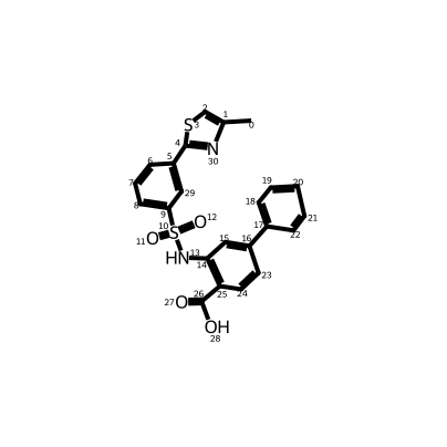 Cc1csc(-c2cccc(S(=O)(=O)Nc3cc(-c4ccccc4)ccc3C(=O)O)c2)n1